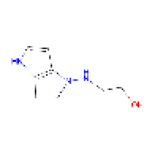 OCCNn1ccc2[nH]ccc21